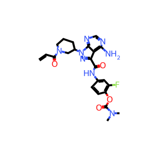 C=CC(=O)N1CCCC(n2nc(C(=O)Nc3ccc(OC(=O)N(C)C)c(F)c3)c3c(N)ncnc32)C1